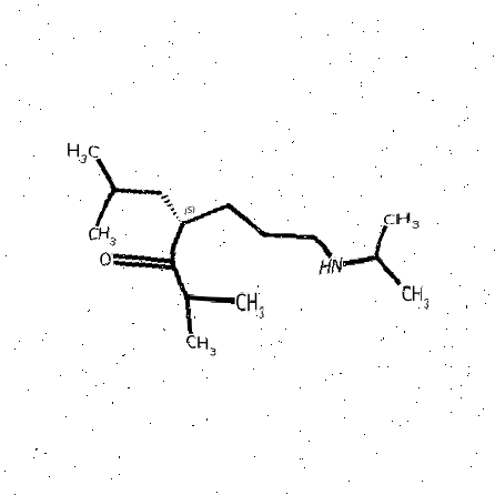 CC(C)C[C@H](CCCNC(C)C)C(=O)C(C)C